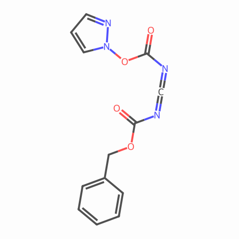 O=C(N=C=NC(=O)On1cccn1)OCc1ccccc1